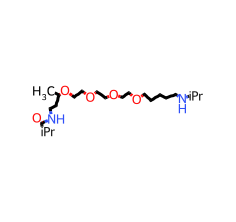 CC(C)NCCCCCOCCOCCOCCOC(C)CCNC(=O)C(C)C